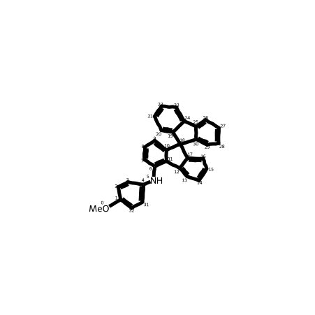 COc1ccc(Nc2cccc3c2-c2ccccc2C32c3ccccc3-c3ccccc32)cc1